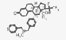 CN(Cc1ccncc1)Cc1ccc([C@H]2C[C@@]3(C)[C@@H](CC[C@@]3(O)C(F)(F)C(F)(F)F)[C@@H]3CCC4=CC(=O)CCC4=C32)cc1